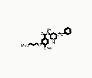 COCCCOc1cc(C(=O)N(C(C)C)C2CNC[C@@H](COc3ccccc3)C2)ccc1OC